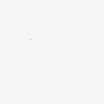 CON(C)C(=O)CCO[Si](c1ccccc1)(c1ccccc1)C(C)(C)C